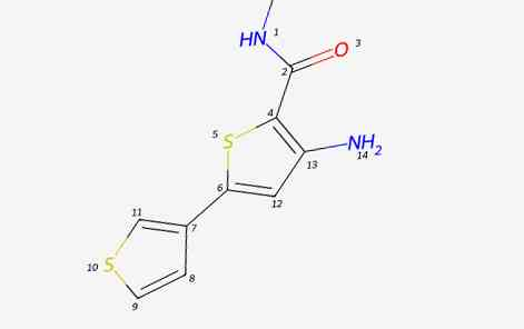 CNC(=O)c1sc(-c2ccsc2)cc1N